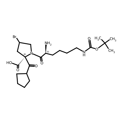 CC(C)(C)OC(=O)NCCCC[C@H](N)C(=O)N1CC(Br)C[C@]1(C(=O)O)C(=O)C1CCCC1